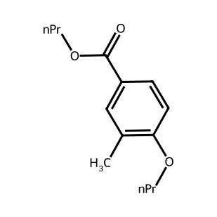 CCCOC(=O)c1ccc(OCCC)c(C)c1